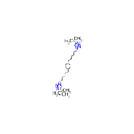 CC(C)c1cn(CCCCCCc2ccc(CCCCCCn3cc(C(C)(C)C)nn3)cc2)nn1